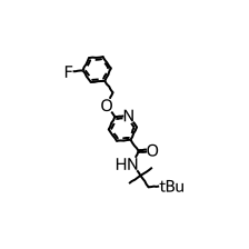 CC(C)(C)CC(C)(C)NC(=O)c1ccc(OCc2cccc(F)c2)nc1